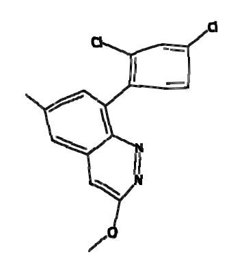 COc1cc2cc(C)cc(-c3ccc(Cl)cc3Cl)c2nn1